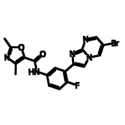 Cc1nc(C)c(C(=O)Nc2ccc(F)c(-c3cn4cc(Br)cnc4n3)c2)o1